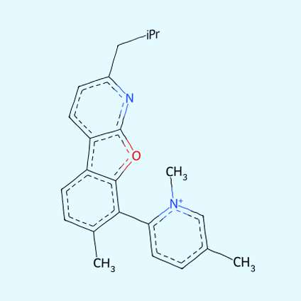 Cc1ccc(-c2c(C)ccc3c2oc2nc(CC(C)C)ccc23)[n+](C)c1